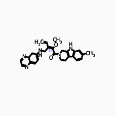 C=C/C(CNC1=CC=C2N=CC=NC2C1)=C(\OC)C(=O)N1CCc2c([nH]c3cc(C)ccc23)C1